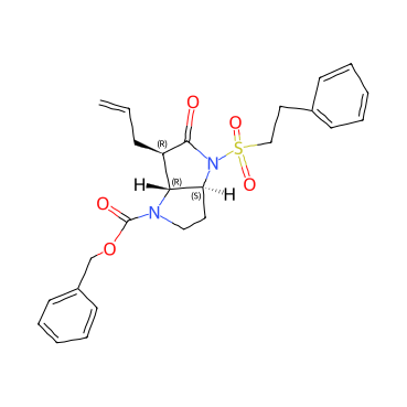 C=CC[C@H]1C(=O)N(S(=O)(=O)CCc2ccccc2)[C@H]2CCN(C(=O)OCc3ccccc3)[C@H]12